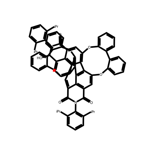 CC(C)c1cccc(C(C)C)c1N1C(=O)c2cc3oc4ccccc4c4ccccc4oc4cc5c6c(cc7oc8ccccc8c8ccccc8oc8cc(c2c2c3c4c6c7c82)C1=O)C(O)N(c1c(C(C)C)cccc1C(C)C)C5=O